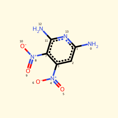 Nc1cc([N+](=O)[O-])c([N+](=O)[O-])c(N)n1